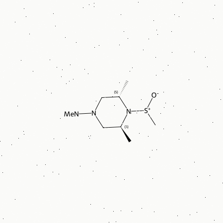 CNN1C[C@H](C)N([S+](C)[O-])[C@@H](C)C1